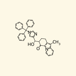 Cc1c2c(n3ccccc13)C(=O)C(C(O)c1cn(C(c3ccccc3)(c3ccccc3)c3ccccc3)cn1)CC2